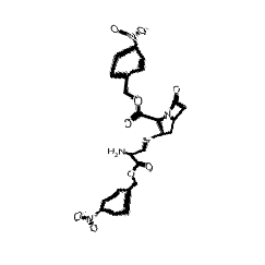 NC(CSC1CC2CC(=O)N2C1C(=O)OCc1ccc([N+](=O)[O-])cc1)C(=O)OCc1ccc([N+](=O)[O-])cc1